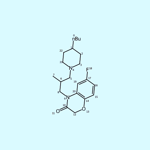 CCCCC1CCN(CC(C)CN2C(=O)COc3ccc(F)cc32)CC1